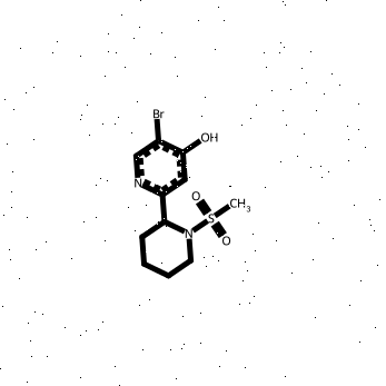 CS(=O)(=O)N1CCCCC1c1cc(O)c(Br)cn1